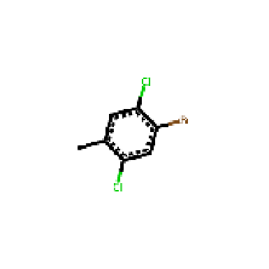 Cc1cc(Cl)c(Br)cc1Cl